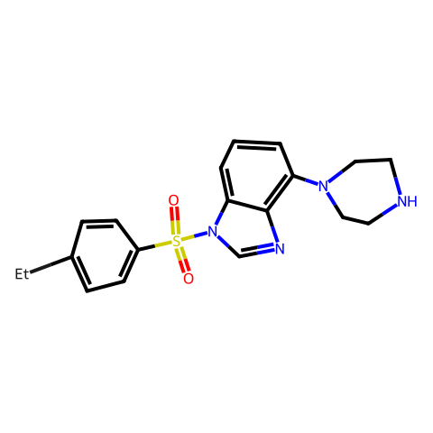 CCc1ccc(S(=O)(=O)n2cnc3c(N4CCNCC4)cccc32)cc1